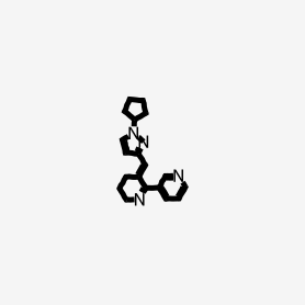 C(=C1CCCN=C1c1cccnc1)c1ccn(C2CCCC2)n1